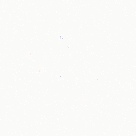 COC(=O)c1cn(-c2cc(C(=O)N(c3ccncc3OC)C(C)(C)C)ccc2C)nn1